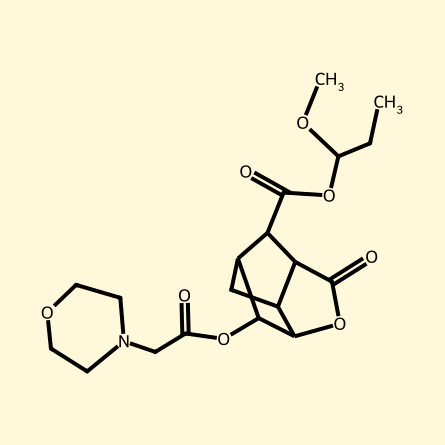 CCC(OC)OC(=O)C1C2CC3C(OC(=O)C31)C2OC(=O)CN1CCOCC1